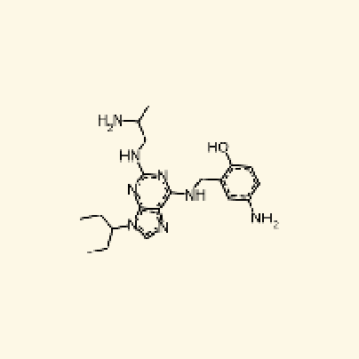 CCC(CC)n1cnc2c(NCc3cc(N)ccc3O)nc(NCC(C)N)nc21